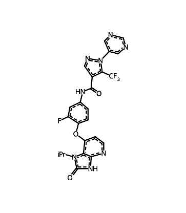 CC(C)n1c(=O)[nH]c2nccc(Oc3ccc(NC(=O)c4cnn(-c5cncnc5)c4C(F)(F)F)cc3F)c21